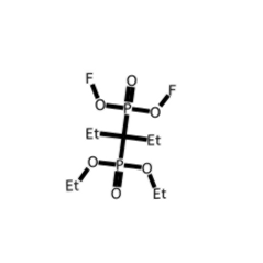 CCOP(=O)(OCC)C(CC)(CC)P(=O)(OF)OF